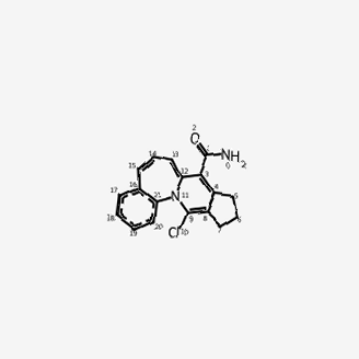 NC(=O)C1=C2CCCC2=C(Cl)N2C1=CC=Cc1ccccc12